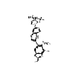 CBC1(NC(C)(C)C)CCN(c2cc3ccc(-c4cc5c(c(C)c4N=O)N=C(CC)C5)nc3cn2)C1